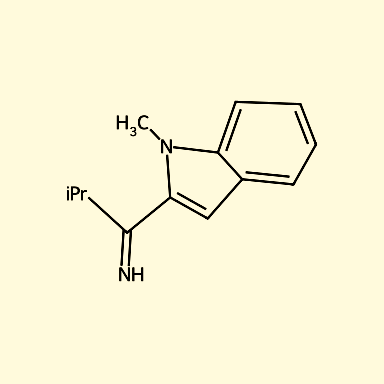 CC(C)C(=N)c1cc2ccccc2n1C